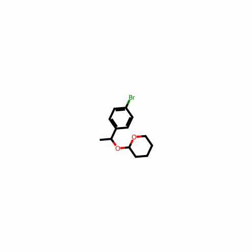 CC(OC1CCCCO1)c1ccc(Br)cc1